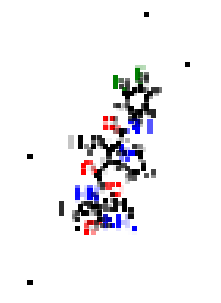 Cc1c(C(=O)C(=O)NC(C)(C)C(N)=O)c2n(c1C(=O)Nc1ccc(F)c(F)c1)CCC2